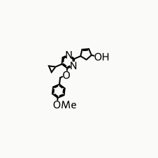 COc1ccc(COc2nc(C3C=CC(O)C3)ncc2C2CC2)cc1